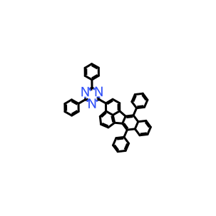 C1=CC2C(c3ccccc3)=C3C(=C(c4ccccc4)C2C=C1)c1ccc(-c2nc(-c4ccccc4)nc(-c4ccccc4)n2)c2cccc3c12